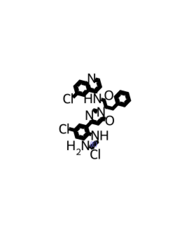 N/C(Cl)=C\Nc1ccc(Cl)cc1-c1cc(=O)n(C(Cc2ccccc2)C(=O)Nc2ccnc3ccc(Cl)cc23)cn1